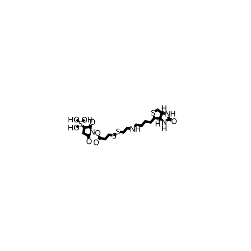 O=C1N[C@H]2CSC(CCCCNCCSSCCC(=O)ON3C(=O)CC(S(O)(O)O)C3=O)[C@H]2N1